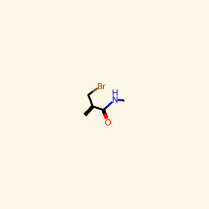 C=C(CBr)C(=O)NC